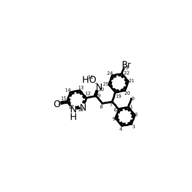 Cc1ccccc1C(CC(=NO)c1ccc(=O)[nH]n1)c1ccc(Br)cc1